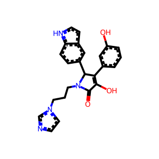 O=C1C(O)=C(c2cccc(O)c2)C(c2ccc3[nH]ccc3c2)N1CCCn1ccnc1